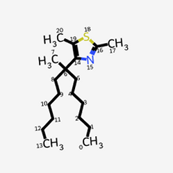 CCCCCCC(C)(CCCCCC)c1nc(C)sc1C